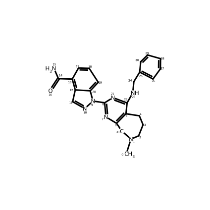 CN1CCCc2c(nc(-n3ncc4c(C(N)=O)cccc43)nc2NCc2ccccc2)C1